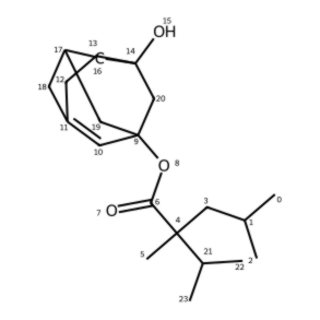 CC(C)CC(C)(C(=O)OC12C=C3CCC(O)(CC(C3)C1)C2)C(C)C